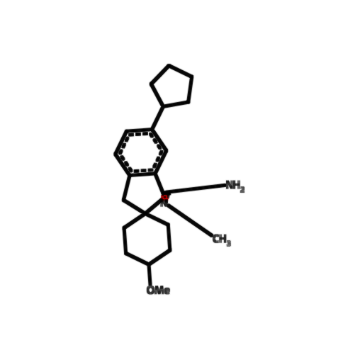 COC1CCC2(CC1)Cc1ccc(C3CCCC3)cc1C21N=C(N)N(C)O1